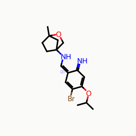 CC(C)OC1=CC(=N)/C(=C\NC23CCC(C)(C2)OC3)C=C1Br